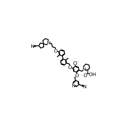 Cc1c(COc2cc(OCc3cncc(C#N)c3)c(CN3CCCC[C@H]3C(=O)O)cc2Cl)cccc1-c1cccc(OCCCN2CCCC3(CCC(C#N)C3)C2)c1C